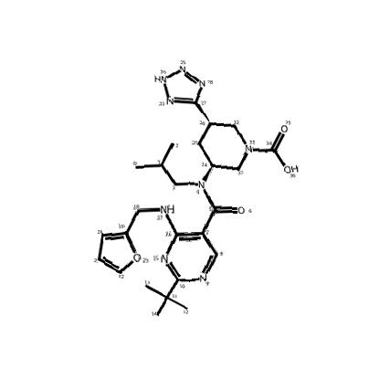 CC(C)CN(C(=O)c1cnc(C(C)(C)C)nc1NCc1ccco1)[C@H]1C[C@@H](c2nn[nH]n2)CN(C(=O)O)C1